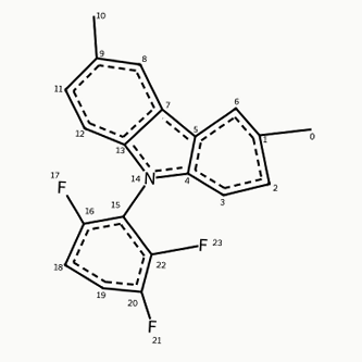 Cc1ccc2c(c1)c1cc(C)ccc1n2-c1c(F)ccc(F)c1F